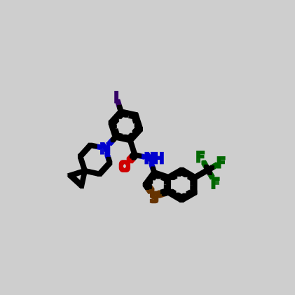 O=C(Nc1csc2ccc(C(F)(F)F)cc12)c1ccc(I)cc1N1CCC2(CC1)CC2